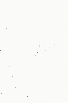 c1ccc2c(c1)NC(C1CCCCCCCCCCC1)S2